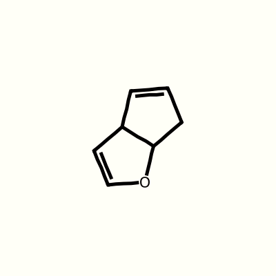 C1=CC2C=COC2C1